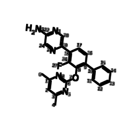 Cc1cc(C)nc(Oc2c(-c3ccccc3)ccc(-c3cnc(N)cn3)c2F)n1